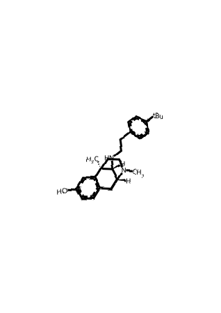 CN1CC[C@]2(C)c3cc(O)ccc3C[C@@H]1[C@H]2NCCc1ccc(C(C)(C)C)cc1